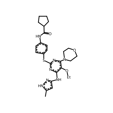 CCOc1c(Nc2cc(C)[nH]n2)nc(Sc2ccc(NC(=O)C3CCCC3)cc2)nc1N1CCOCC1